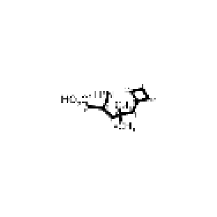 CC(C)(CC(N)CC(=O)O)CC1CCC1